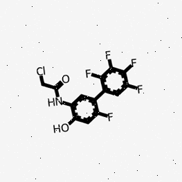 O=C(CCl)Nc1cc(-c2cc(F)c(F)c(F)c2F)c(F)cc1O